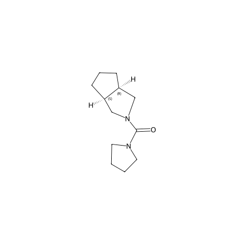 O=C(N1CCCC1)N1C[C@H]2CCC[C@H]2C1